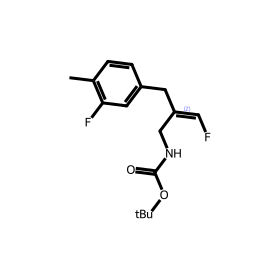 Cc1ccc(C/C(=C/F)CNC(=O)OC(C)(C)C)cc1F